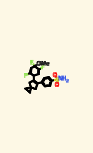 COC1(F)C=C(F)C(C2=C(c3ccc(S(N)(=O)=O)cc3)CC3(CC3)C2)C=C1F